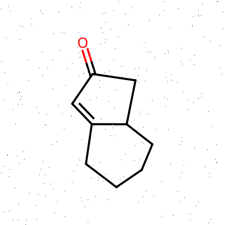 O=C1C=C2CCCCC2C1